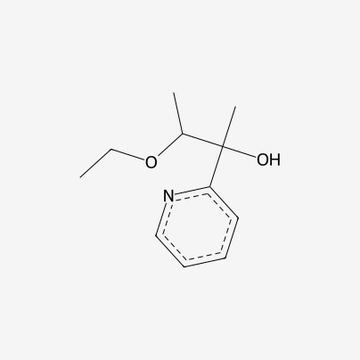 CCOC(C)C(C)(O)c1ccccn1